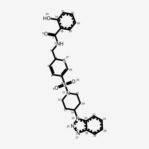 O=C(NCC1C=CC(S(=O)(=O)N2CCC(n3nnc4ccccc43)CC2)=CS1)c1ccccc1O